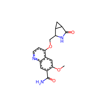 COc1cc2c(OCC3NC(=O)C4CC34)ccnc2cc1C(N)=O